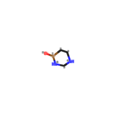 [O-][S+]1CCNCN1